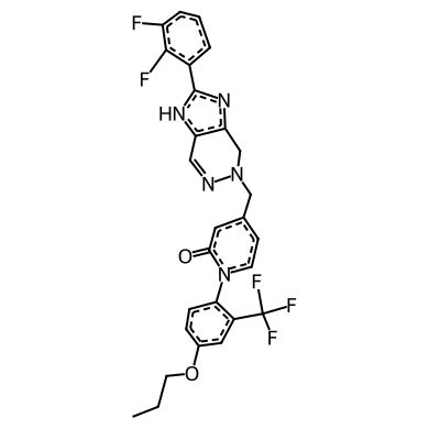 CCCOc1ccc(-n2ccc(CN3Cc4nc(-c5cccc(F)c5F)[nH]c4C=N3)cc2=O)c(C(F)(F)F)c1